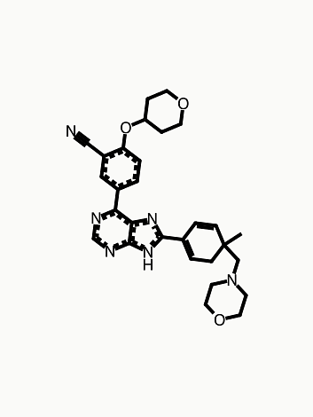 CC1(CN2CCOCC2)C=CC(c2nc3c(-c4ccc(OC5CCOCC5)c(C#N)c4)ncnc3[nH]2)=CC1